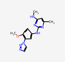 CNc1cc(C)nc(Nc2ccc(OC)c(-n3ccnn3)c2)n1